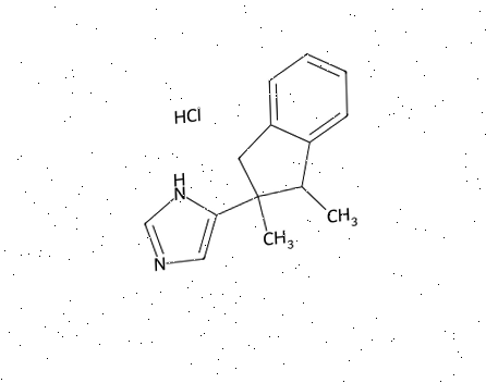 CC1c2ccccc2CC1(C)c1cnc[nH]1.Cl